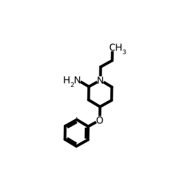 CCCN1CCC(Oc2[c]cccc2)CC1N